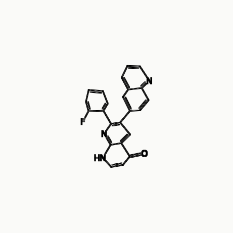 O=c1cc[nH]c2nc(-c3ccccc3F)c(-c3ccc4ncccc4c3)cc12